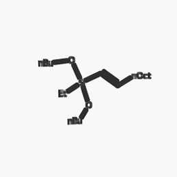 CCCCCCCCC=C[Si](CC)(OCCCC)OCCCC